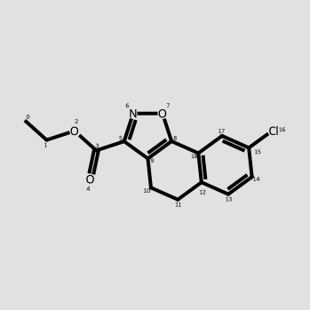 CCOC(=O)c1noc2c1CCc1ccc(Cl)cc1-2